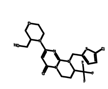 O=c1cc(N2CCOCC2CO)nc2n1CCC(C(F)(F)F)N2Cc1ccc(Cl)s1